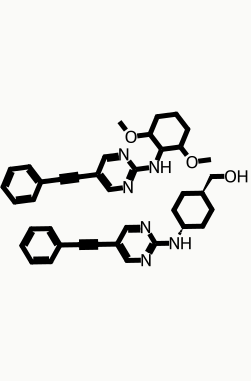 COC1CCCC(OC)C1Nc1ncc(C#Cc2ccccc2)cn1.OC[C@H]1CC[C@H](Nc2ncc(C#Cc3ccccc3)cn2)CC1